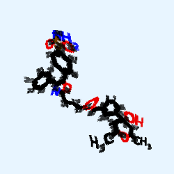 CC1CC(O)(c2cccc(COCCCc3nc(-c4ccccc4)c(-c4ccc(S(N)(=O)=O)cc4)o3)c2)CC(C)O1